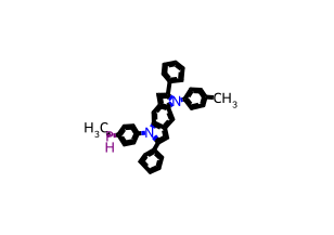 CPc1ccc(-n2c(-c3ccccc3)cc3cc4c(cc(-c5ccccc5)n4-c4ccc(C)cc4)cc32)cc1